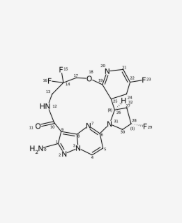 Nc1nn2ccc3nc2c1C(=O)NCC(F)(F)COC1=NC=C(F)CC1[C@H]1C[C@H](F)CN31